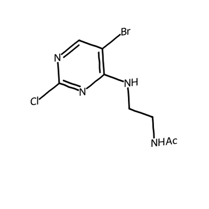 CC(=O)NCCNc1nc(Cl)ncc1Br